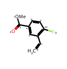 C=Cc1cc(C(=O)OC)ccc1F